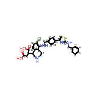 O=C(O)CC(C(=O)O)C1CNCCc2c1ccc(Cl)c2NCc1ccc(-c2csc(NCc3ccccc3)n2)cc1